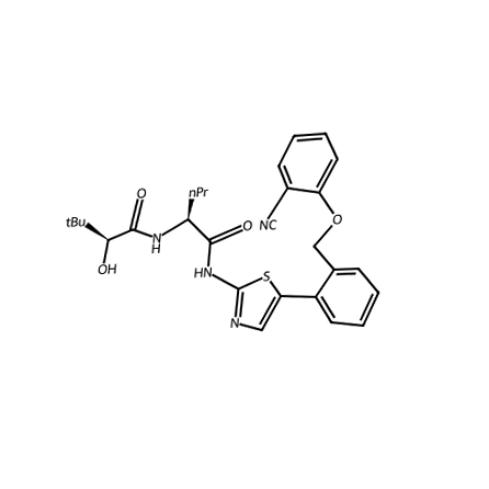 CCC[C@H](NC(=O)[C@@H](O)C(C)(C)C)C(=O)Nc1ncc(-c2ccccc2COc2ccccc2C#N)s1